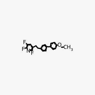 CCOc1ccc(-c2ccc(CCc3cc(F)c(F)nc3F)cc2)cc1